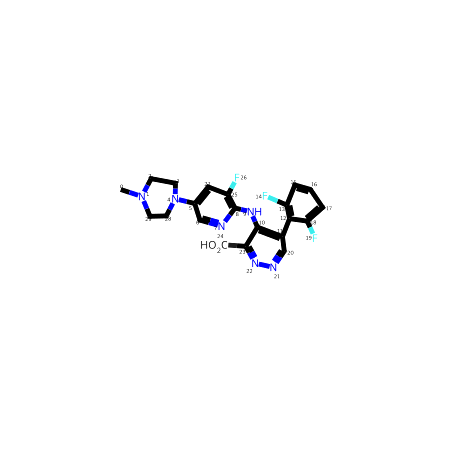 CN1CCN(c2cnc(Nc3c(-c4c(F)cccc4F)cnnc3C(=O)O)c(F)c2)CC1